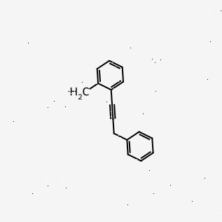 [CH2]c1ccccc1C#CCc1ccccc1